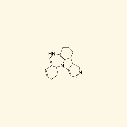 C1=CC2=CNC3=C4C(CCC3)C3CN=CC=C3N4C2CC1